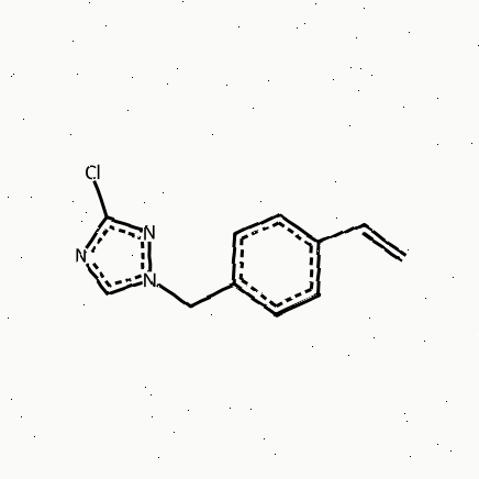 C=Cc1ccc(Cn2cnc(Cl)n2)cc1